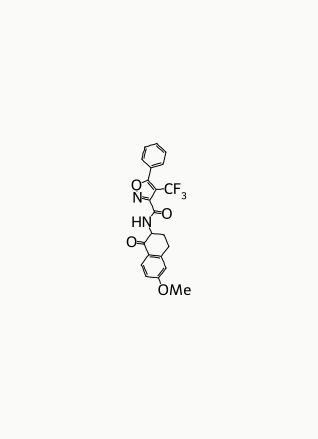 COc1ccc2c(c1)CCC(NC(=O)c1noc(-c3ccccc3)c1C(F)(F)F)C2=O